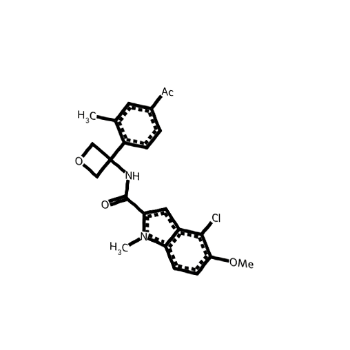 COc1ccc2c(cc(C(=O)NC3(c4ccc(C(C)=O)cc4C)COC3)n2C)c1Cl